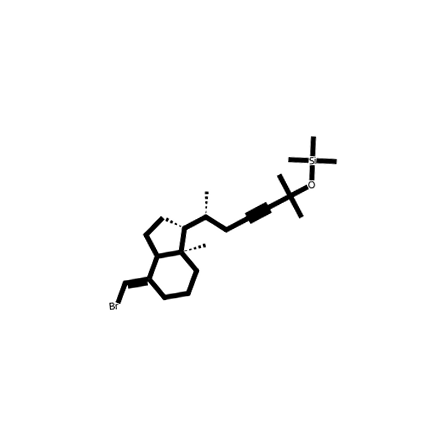 C[C@H](CC#CC(C)(C)O[Si](C)(C)C)[C@H]1CCC2/C(=C/Br)CCC[C@@]21C